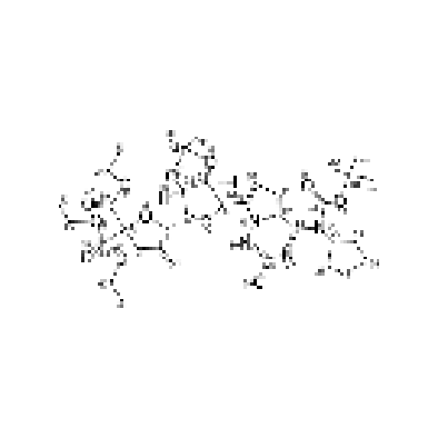 C=CCC(OC[C@H]1O[C@H](c2ccc3c(N(C(=O)OC(C)(C)C)C4CCCC4)nc(Cl)nn23)[C@@H]2OC(C)(C)O[C@@H]21)(C(=O)OCC)P(=O)(OCC)OCC